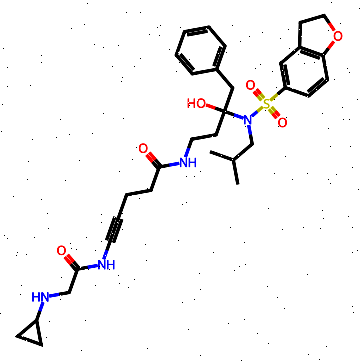 CC(C)CN(C(O)(CCNC(=O)CCC#CNC(=O)CNC1CC1)Cc1ccccc1)S(=O)(=O)c1ccc2c(c1)CCO2